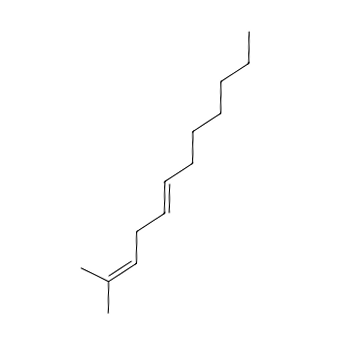 CCCCCCC=CCC=C(C)C